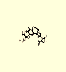 Cc1c(NC(C)C(N)=O)ccc2c1OCCn1cc(N3C(=O)OC[C@H]3C(F)F)nc1-2